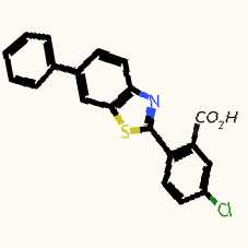 O=C(O)c1cc(Cl)ccc1-c1nc2ccc(-c3ccccc3)cc2s1